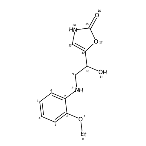 CCOc1ccccc1NCC(O)c1c[nH]c(=O)o1